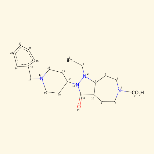 CC(C)CN1C2CCN(C(=O)O)CCC2C(=O)N1C1CCN(Cc2ccccc2)CC1